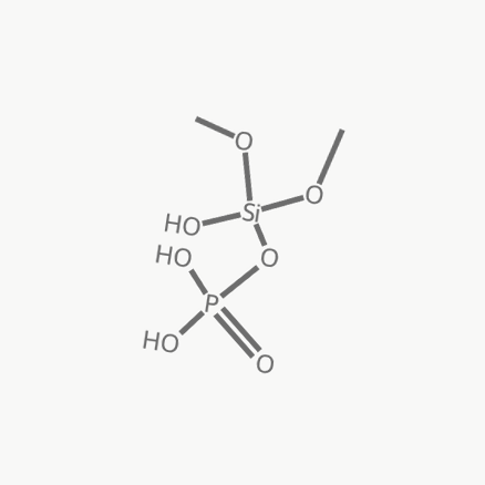 CO[Si](O)(OC)OP(=O)(O)O